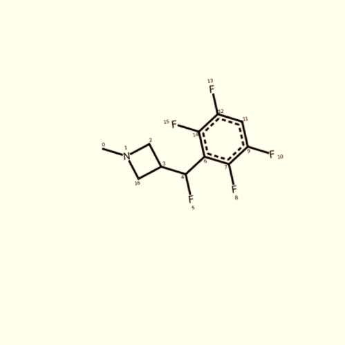 CN1CC(C(F)c2c(F)c(F)cc(F)c2F)C1